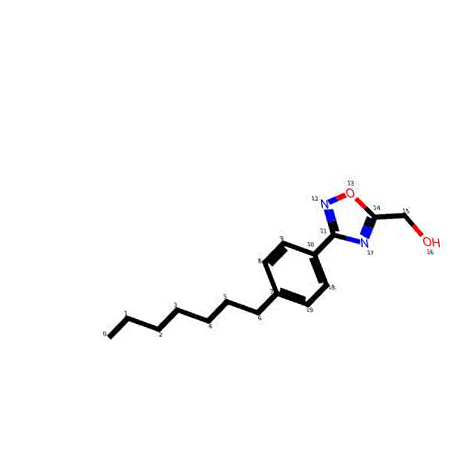 CCCCCCCc1ccc(-c2noc(CO)n2)cc1